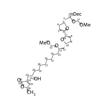 CCCCCCCCCC[C@H](C[C@H]1CC[C@H]([C@H]2CC[C@H](C[C@@H](CCCCCCCC[C@H](O)CC3=C[C@@H](C)OC3=O)OCOC)O2)O1)OCOC